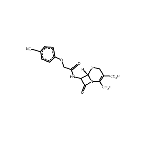 N#Cc1ccc(OCC(=O)NC2C(=O)N3C(C(=O)O)=C(C(=O)O)CS[C@@H]23)cc1